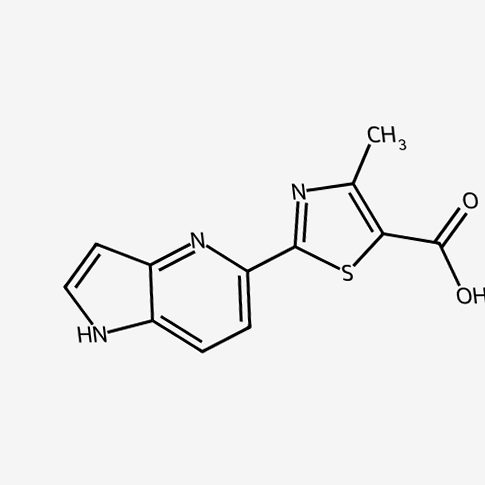 Cc1nc(-c2ccc3[nH]ccc3n2)sc1C(=O)O